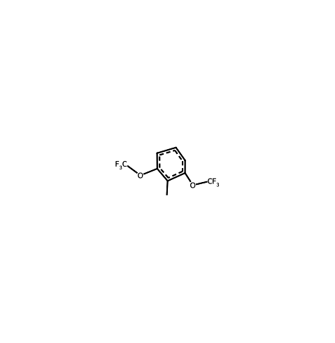 Cc1c(OC(F)(F)F)cccc1OC(F)(F)F